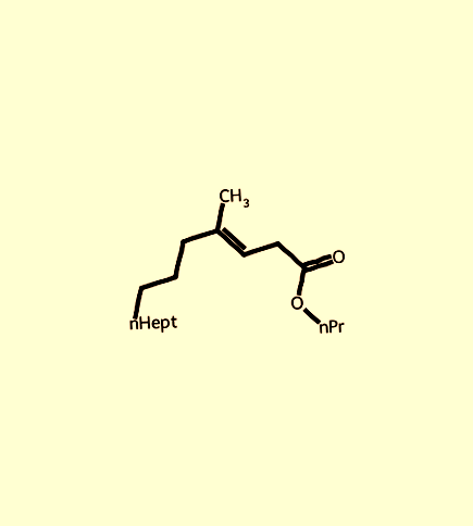 CCCCCCCCCCC(C)=CCC(=O)OCCC